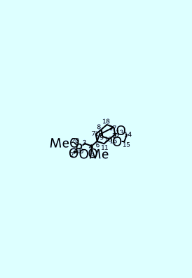 COP(=O)(CC(=O)C12CC3CC(C1)C1(OCCO1)C(C3)C2)OC